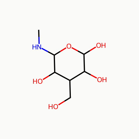 CNC1OC(O)C(O)C(CO)C1O